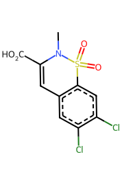 CN1C(C(=O)O)=Cc2cc(Cl)c(Cl)cc2S1(=O)=O